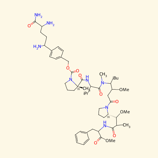 CCC(C)C(C(CC(=O)N1CCC[C@H]1C(OC)C(C)C(=O)NC(Cc1ccccc1)C(=O)OC)OC)N(C)C(=O)C(NC(=O)[C@]1(C)CCCN1C(=O)OCc1ccc(C(N)CCC(N)C(N)=O)cc1)C(C)C